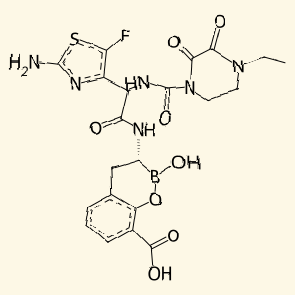 CCN1CCN(C(=O)NC(C(=O)N[C@H]2Cc3cccc(C(=O)O)c3OB2O)c2nc(N)sc2F)C(=O)C1=O